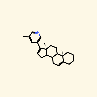 Cc1cncc(C2=CCC3C4CC=C5CCCC[C@]5(C)C4CC[C@]23C)c1